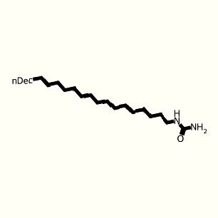 CCCCCCCCCCCCCCCCCCCCCCCCCCNC(N)=O